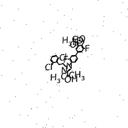 CC(C)(O)c1cn(-c2ccc(-c3cc(F)c(CO)c(S(C)(=O)=O)c3)cc2F)c(CCc2c(Cl)cccc2Cl)n1